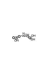 O=C(O)c1ccccc1COc1ccc(CCNCC(O)COc2ccc(O)c(CO)c2)cc1